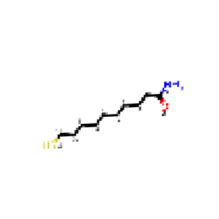 NC(=O)CCCCCCCCCS